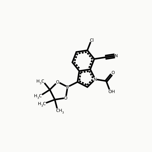 CC1(C)OB(c2cn(C(=O)O)c3c(C#N)c(Cl)ccc23)OC1(C)C